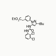 CCOC(=O)Cc1cccc(-n2nc(C(C)(C)C)cc2NC(=O)Nc2cccc(Cl)c2Cl)c1